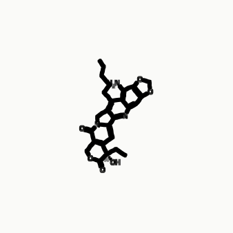 CCCCCc1c2c(nc3cc4c(c(N)c13)OCO4)-c1cc3c(c(=O)n1C2)COC(=O)[C@]3(O)CC